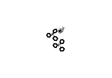 [C]=O.[C]=O.[C]=O.[Ir].c1ccc(P(c2ccccc2)c2ccccc2)cc1.c1ccc(P(c2ccccc2)c2ccccc2)cc1